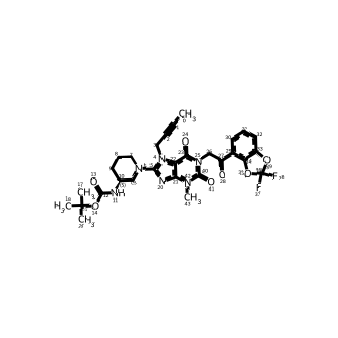 CC#CCn1c(N2CCC[C@H](NC(=O)OC(C)(C)C)C2)nc2c1c(=O)n(CC(=O)c1cccc3c1OC(F)(F)O3)c(=O)n2C